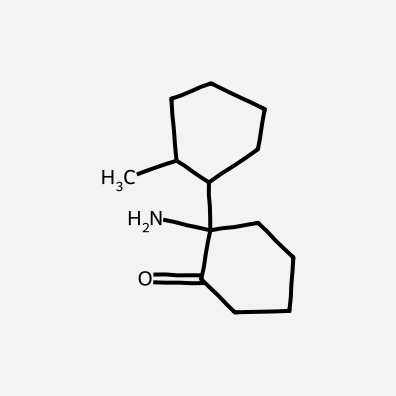 CC1CCCCC1C1(N)CCCCC1=O